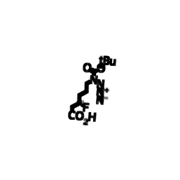 CC(C)(C)OC(=O)N(CCC[C@@H](F)CC(=O)O)N=[N+]=[N-]